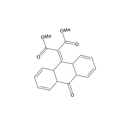 COC(=O)C(C(=O)OC)=C1C2C=CC=CC2C(=O)C2C=CC=CC12